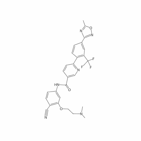 Cc1nc(-c2ccc(-c3ccc(C(=O)Nc4ccc(C#N)c(OCCN(C)C)c4)cn3)c(C(F)(F)F)c2)no1